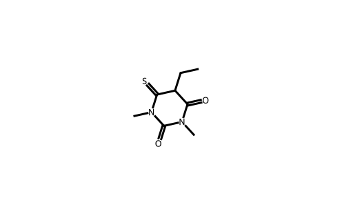 CCC1C(=O)N(C)C(=O)N(C)C1=S